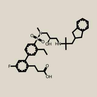 CCc1cc(-c2cc(F)ccc2CCC(=O)O)ccc1S(=O)(=O)N(C)C[C@H](O)CNC(C)(C)CC1Cc2ccccc2C1